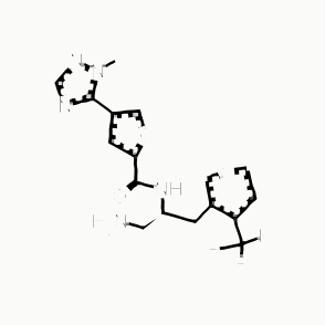 Cn1ncnc1-c1coc(C(=O)N[C@H](CN)Cc2ccccc2C(F)(F)F)c1